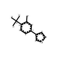 Cc1cc(-c2ccsc2)ccc1C(C)(C)C